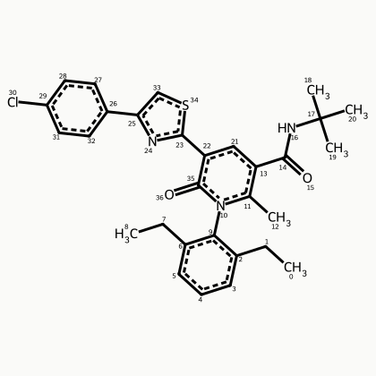 CCc1cccc(CC)c1-n1c(C)c(C(=O)NC(C)(C)C)cc(-c2nc(-c3ccc(Cl)cc3)cs2)c1=O